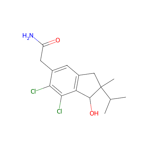 CC(C)C1(C)Cc2cc(CC(N)=O)c(Cl)c(Cl)c2C1O